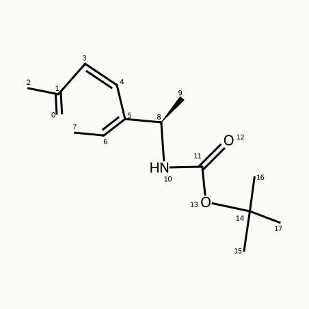 C=C(C)/C=C\C(=C/C)[C@@H](C)NC(=O)OC(C)(C)C